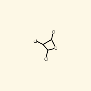 ClC1OC(Cl)C1Cl